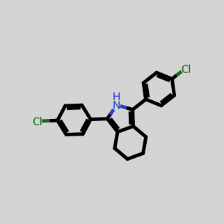 Clc1ccc(-c2[nH]c(-c3ccc(Cl)cc3)c3c2CCCC3)cc1